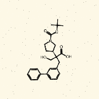 CC(C)(C)OC(=O)N1CC[C@H](C(CO)(Cc2cccc(-c3ccccc3)c2)C(=O)O)C1